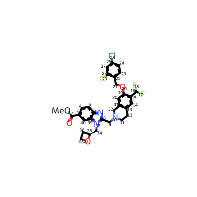 COC(=O)c1ccc2nc(CN3CCc4cc(C(F)F)c(OCc5ccc(Cl)cc5F)cc4C3)n(C[C@@H]3CCO3)c2c1